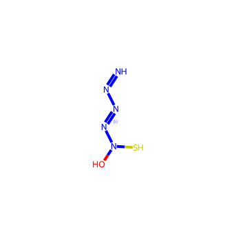 N=N/N=N/N(O)S